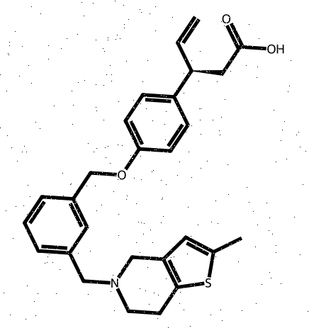 C=C[C@@H](CC(=O)O)c1ccc(OCc2cccc(CN3CCc4sc(C)cc4C3)c2)cc1